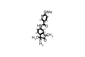 COc1ccc(C(=O)Nc2ccc3c(c2)N(C)C(=O)C3(C)C)cn1